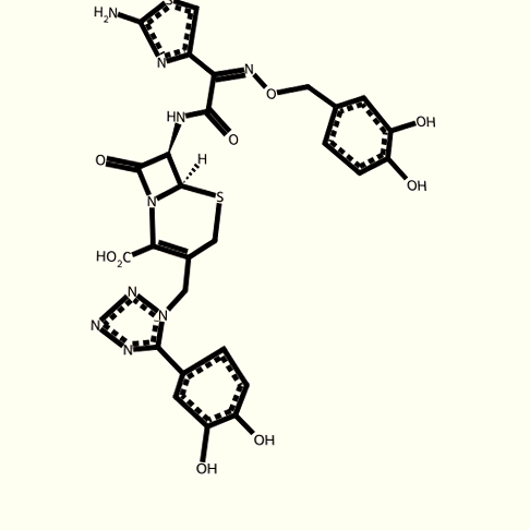 Nc1nc(/C(=N/OCc2ccc(O)c(O)c2)C(=O)N[C@@H]2C(=O)N3C(C(=O)O)=C(Cn4nnnc4-c4ccc(O)c(O)c4)CS[C@H]23)cs1